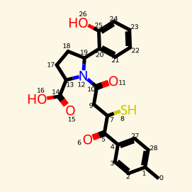 Cc1ccc(C(=O)C(S)CC(=O)N2C(C(=O)O)CCC2c2ccccc2O)cc1